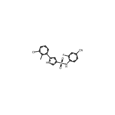 Cc1c(Cl)cccc1-c1cc(S(=O)(=O)Nc2ccc(C#N)cc2F)c[nH]1